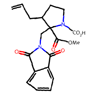 C=CCC1CCN(C(=O)O)C1(CN1C(=O)c2ccccc2C1=O)C(=O)OC